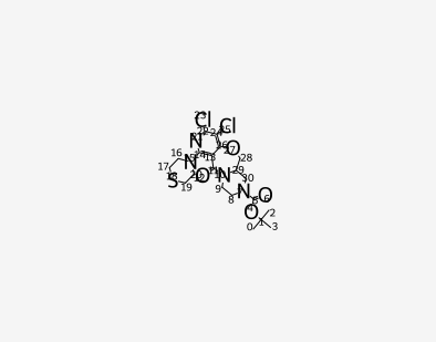 CC(C)(C)OC(=O)N1CCN2C(=O)c3c(N4CCSCC4)nc(Cl)c(Cl)c3OCC2C1